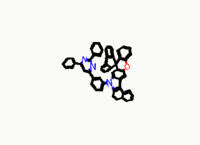 c1ccc(-c2cc(-c3cccc(-n4c5cc6c(cc5c5c7ccccc7ccc54)Oc4ccccc4C64c5ccccc5-c5ccccc54)c3)nc(-c3ccccc3)n2)cc1